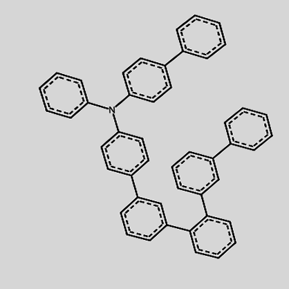 c1ccc(-c2ccc(N(c3ccccc3)c3ccc(-c4cccc(-c5ccccc5-c5cccc(-c6ccccc6)c5)c4)cc3)cc2)cc1